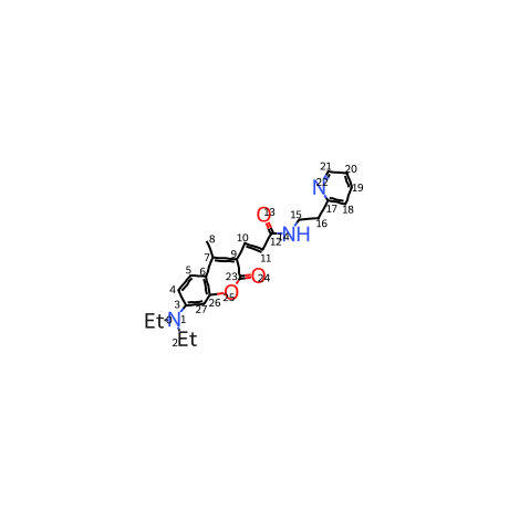 CCN(CC)c1ccc2c(C)c(C=CC(=O)NCCc3ccccn3)c(=O)oc2c1